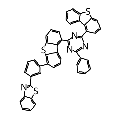 c1ccc(-c2nc(-c3cccc4sc5ccccc5c34)nc(-c3cccc4sc5c(-c6cccc(-c7nc8ccccc8s7)c6)cccc5c34)n2)cc1